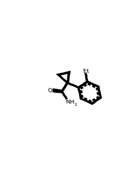 CCc1ccccc1C1(C(N)=O)CC1